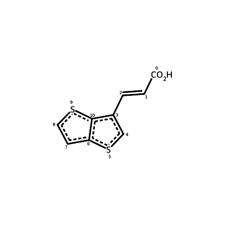 O=C(O)/C=C/c1csc2ccsc12